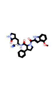 COc1cccc2[nH]c(C(=O)N3CCC(c4ccccc4)C3C(=O)N[C@H](C#N)CC3CCNC3=O)cc12